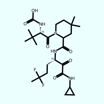 CC(F)(F)CC[C@H](NC(=O)C1CC(C)(C)CCN1C(=O)[C@@H](NC(=O)O)C(C)(C)C)C(=O)C(=O)NC1CC1